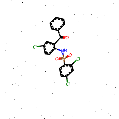 O=C(c1ccccc1)c1cc(Cl)ccc1NS(=O)(=O)c1ccc(Cl)cc1Cl